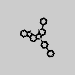 c1ccc(-c2ccc(-n3c4ccc(-c5ccccc5)nc4c4c5sc6ccccc6c5ccc43)cc2)cc1